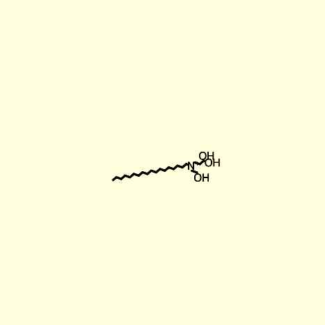 CCCCCCCCCCCCCCCCCC[N+](=CCO)CCC(O)O